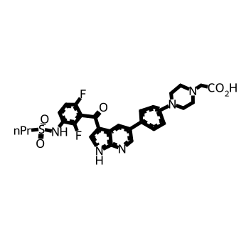 CCCS(=O)(=O)Nc1ccc(F)c(C(=O)c2c[nH]c3ncc(-c4ccc(N5CCN(CC(=O)O)CC5)cc4)cc23)c1F